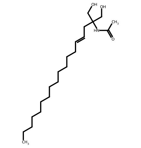 CCCCCCCCCCCCCC=CCC(CO)(CO)NC(C)=O